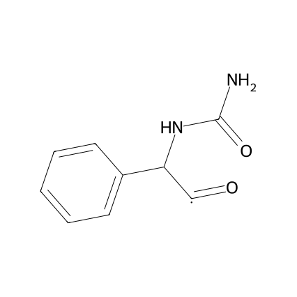 NC(=O)NC([C]=O)c1ccccc1